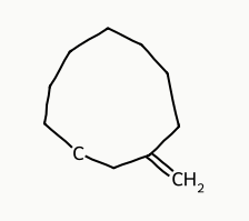 C=C1CCCCCCCCC1